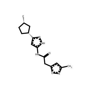 Cc1cc(CC(=O)Nc2cc([C@@H]3C[CH][C@H](F)C3)n[nH]2)on1